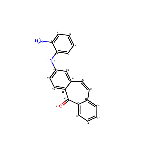 Nc1ccccc1Nc1ccc2c(=O)c3ccccc3ccc2c1